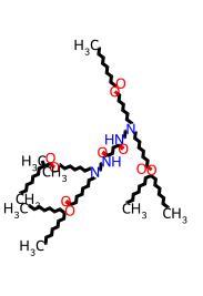 CCCCCCCCCC(=O)OCCCCCCCN(CCCCCCCC(=O)OC(CCCCCCCC)CCCCCCCC)CCNC(=O)CCC(=O)NCCN(CCCCCCCOC(=O)C(C)(C)CCCCCCCC)CCCCCCCC(=O)OC(CCCCCCCC)CCCCCCCC